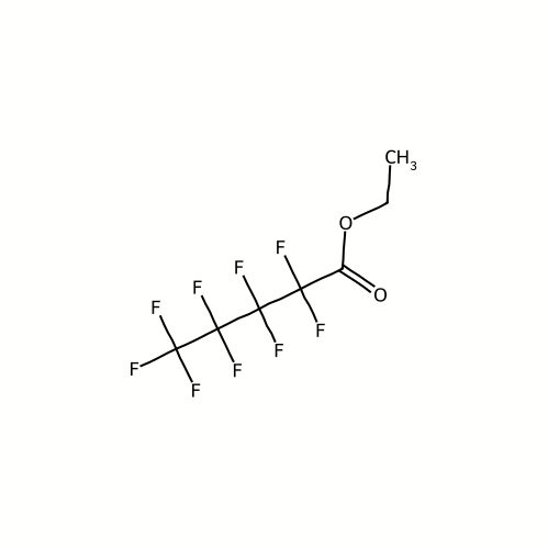 CCOC(=O)C(F)(F)C(F)(F)C(F)(F)C(F)(F)F